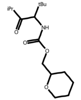 CC(C)C(=O)C(NC(=O)OCC1CCCCO1)C(C)(C)C